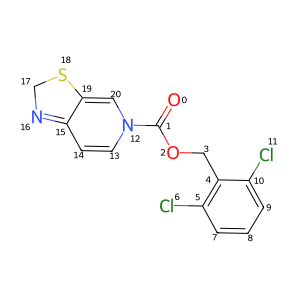 O=C(OCc1c(Cl)cccc1Cl)N1C=CC2=NCSC2=C1